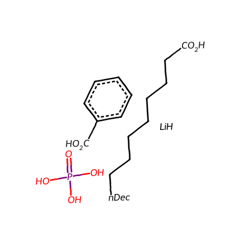 CCCCCCCCCCCCCCCCCC(=O)O.O=C(O)c1ccccc1.O=P(O)(O)O.[LiH]